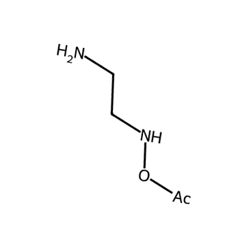 CC(=O)ONCCN